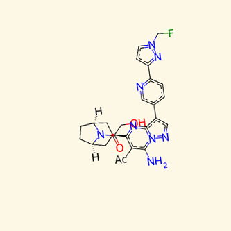 CC(=O)c1c([C@H]2C[C@H]3CC[C@@H](C2)N3C(=O)CO)nc2c(-c3ccc(-c4ccn(CF)n4)nc3)cnn2c1N